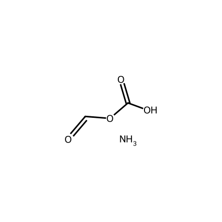 N.O=COC(=O)O